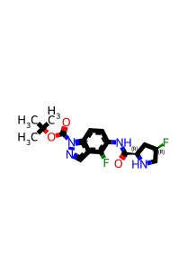 CC(C)(C)OC(=O)n1ncc2c(F)c(NC(=O)[C@H]3C[C@@H](F)CN3)ccc21